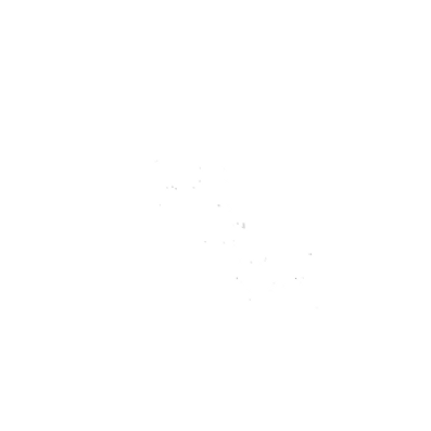 O=C(Nc1cccc([N+](=O)[O-])c1)c1cccc([N+](=O)[O-])c1